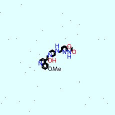 COc1ccc2nccc([C@@H](O)CN3CCC(NCc4ccc5c(n4)NC(=O)CO5)CC3)c2c1